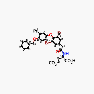 CC(C)c1cc(Oc2c(Br)cc(CC(=O)N[C@@H](CC(=O)O)C(=O)O)cc2Br)ccc1OCc1ccccc1